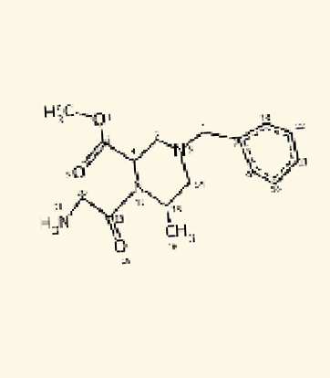 COC(=O)C1CN(Cc2ccccc2)C[C@@H](C)N1C(=O)CN